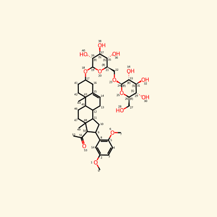 COc1ccc(OC)c(C2CC3C4CC=C5CC(OC6O[C@H](CO[C@@H]7O[C@H](CO)[C@@H](O)[C@H](O)[C@H]7O)[C@@H](O)[C@H](O)[C@H]6O)CCC5(C)C4CCC3(C)C2C(C)=O)c1